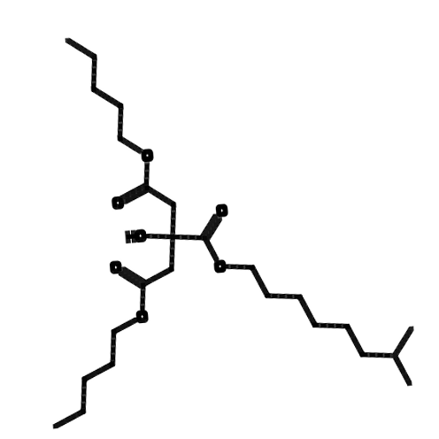 CCCCCOC(=O)CC(O)(CC(=O)OCCCCC)C(=O)OCCCCCCC(C)C